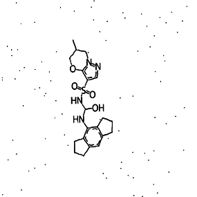 CC1COc2c(S(=O)(=O)NC(O)Nc3c4c(cc5c3CCC5)CCC4)cnn2C1